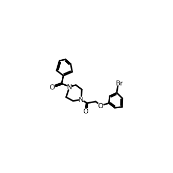 O=C(COc1cccc(Br)c1)N1CCN(C(=O)c2ccccc2)CC1